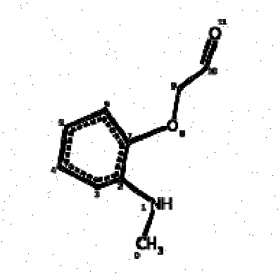 CNc1ccccc1OCC=O